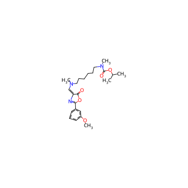 COc1cccc(C2=NC(=CN(C)CCCCCCN(C)C(=O)OC(C)C)C(=O)O2)c1